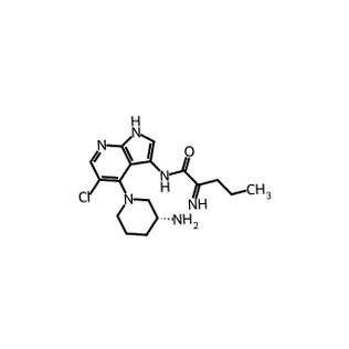 CCCC(=N)C(=O)Nc1c[nH]c2ncc(Cl)c(N3CCC[C@@H](N)C3)c12